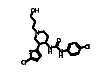 O=C(Nc1ccc(Cl)cc1)NC1CCN(CCCO)CC1c1ccc(Cl)s1